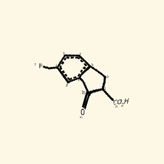 O=C(O)C1Cc2ccc(F)cc2C1=O